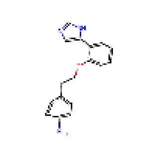 Nc1ccc(CCOc2ccccc2-c2cnc[nH]2)cc1